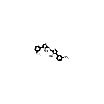 O=[N+]([O-])c1cccc(-c2cnc(SSc3ncc(-c4cccc([N+](=O)[O-])c4)n3O)n2O)c1